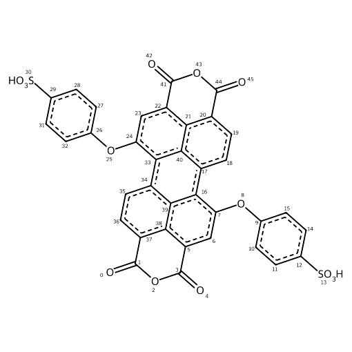 O=C1OC(=O)c2cc(Oc3ccc(S(=O)(=O)O)cc3)c3c4ccc5c6c(cc(Oc7ccc(S(=O)(=O)O)cc7)c(c7ccc1c2c73)c64)C(=O)OC5=O